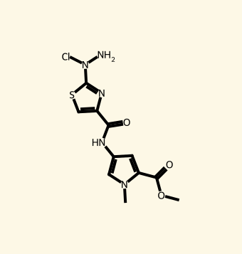 COC(=O)c1cc(NC(=O)c2csc(N(N)Cl)n2)cn1C